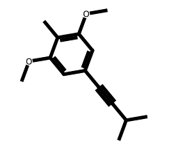 COc1cc(C#CC(C)C)cc(OC)c1C